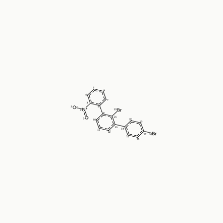 O=[N+]([O-])c1ccccc1-c1cc[c]c(-c2ccc(Br)cc2)c1Br